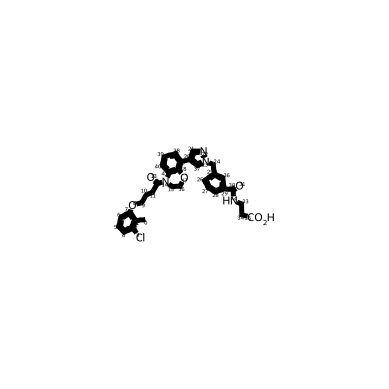 Cc1c(Cl)cccc1OCCCC(=O)N1CCOc2c(-c3cnn(Cc4cccc(C(=O)NCCC(=O)O)c4)c3)cccc21